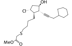 COC(=O)CSCCCC[C@@H]1[C@@H](C#CCC2CCCCC2)[C@H](O)C[C@H]1Cl